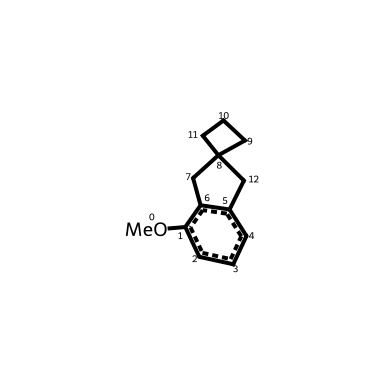 COc1cccc2c1CC1(CCC1)C2